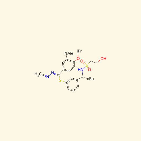 C=N/N=C(\Sc1cccc([C@@H](CCCC)NS(=O)(=O)CCO)c1)c1ccc(OC(C)C)c(NC)c1